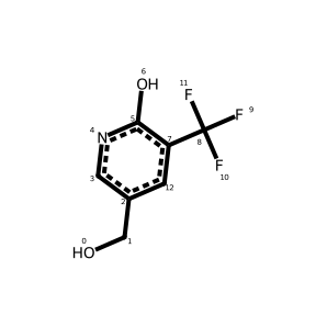 OCc1cnc(O)c(C(F)(F)F)c1